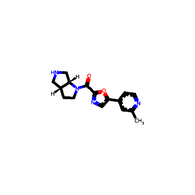 Cc1cc(-c2cnc(C(=O)N3CC[C@@H]4CNC[C@@H]43)o2)ccn1